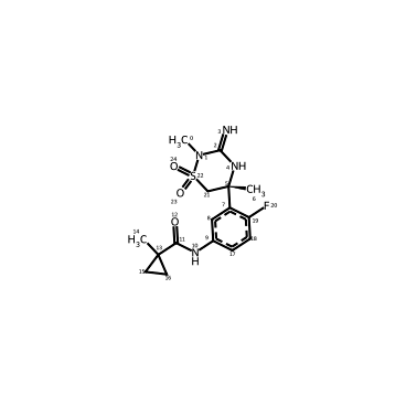 CN1C(=N)N[C@](C)(c2cc(NC(=O)C3(C)CC3)ccc2F)CS1(=O)=O